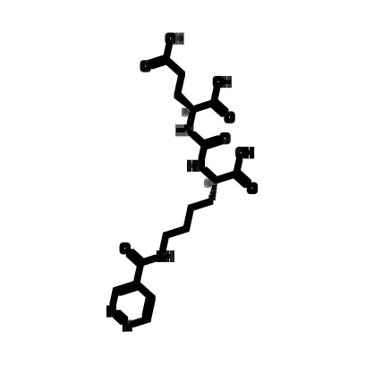 O=C(O)CC[C@H](NC(=O)N[C@@H](CCCCNC(=O)c1ccnnc1)C(=O)O)C(=O)O